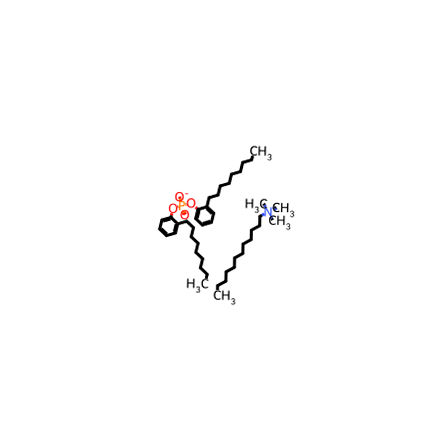 CCCCCCCCCCCC[N+](C)(C)C.CCCCCCCCCc1ccccc1OP(=O)([O-])Oc1ccccc1CCCCCCCCC